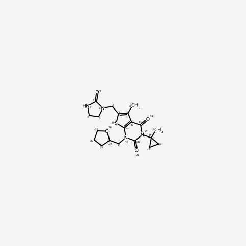 Cc1c(CN2CCNC2=O)sc2c1c(=O)n(C1(C)CC1)c(=O)n2CC1CCCO1